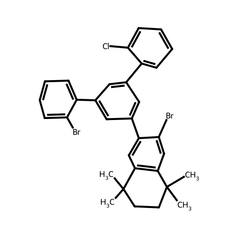 CC1(C)CCC(C)(C)c2cc(-c3cc(-c4ccccc4Cl)cc(-c4ccccc4Br)c3)c(Br)cc21